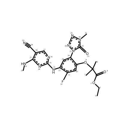 CCOC(=O)C(C)(C)Oc1cc(F)c(Nc2ncc(C#N)c(NC)n2)cc1-n1nnn(C)c1=O